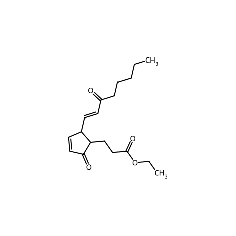 CCCCCC(=O)C=CC1C=CC(=O)C1CCC(=O)OCC